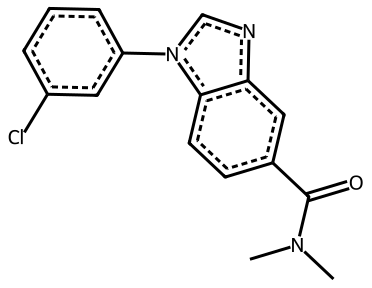 CN(C)C(=O)c1ccc2c(c1)ncn2-c1cccc(Cl)c1